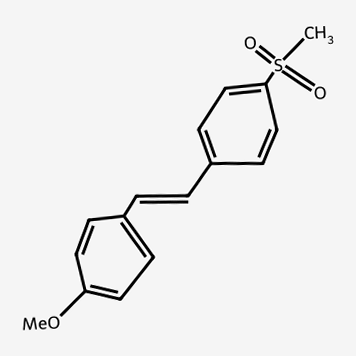 COc1ccc(C=Cc2ccc(S(C)(=O)=O)cc2)cc1